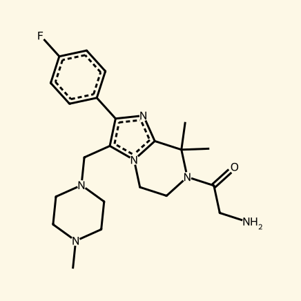 CN1CCN(Cc2c(-c3ccc(F)cc3)nc3n2CCN(C(=O)CN)C3(C)C)CC1